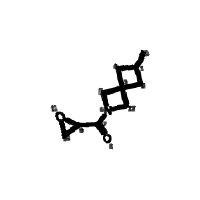 CC1CC2(C1)CN(C(=O)C1CO1)C2